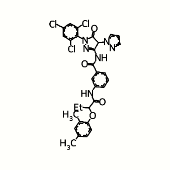 CCC(Oc1ccc(C)cc1C)C(=O)Nc1cccc(C(=O)NC2=NN(c3c(Cl)cc(Cl)cc3Cl)C(=O)C2n2cccn2)c1